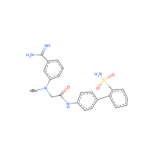 CCCCN(CC(=O)Nc1ccc(-c2ccccc2S(N)(=O)=O)cc1)c1cccc(C(=N)N)c1